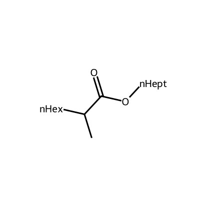 CCCCCCCOC(=O)C(C)CCCCCC